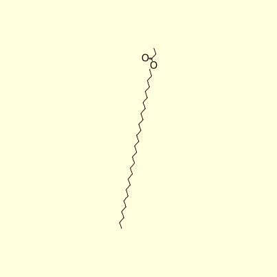 CCCCCCCCCCCCCCCCCCCCCCCCCCCCCCOC(=O)CC